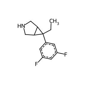 CCC1(c2cc(F)cc(F)c2)C2CNCC21